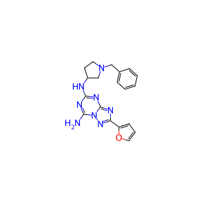 Nc1nc(NC2CCN(Cc3ccccc3)C2)nc2nc(-c3ccco3)nn12